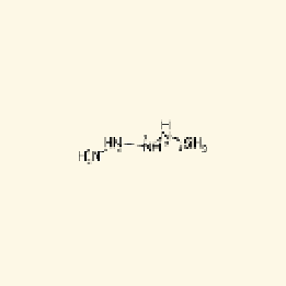 NNNN[SiH3]